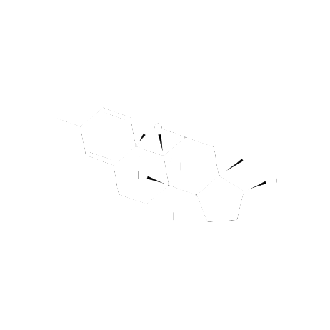 CC[C@H]1CC[C@H]2[C@@H]3CCC4=CC(F)C=C[C@]4(C)[C@@]34O[C@H]4C[C@]12C